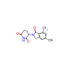 N#Cc1cc2c(c(C(F)(F)F)c1)C(=O)N(C1CCC(=O)NC1=O)C2